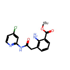 CC(C)(C)OC(=O)c1cccc(CC(=O)Nc2cc(Cl)ccn2)c1N